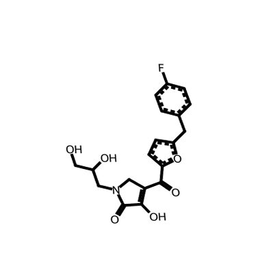 O=C(C1=C(O)C(=O)N(CC(O)CO)C1)c1ccc(Cc2ccc(F)cc2)o1